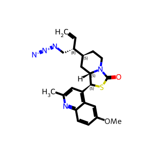 C=C[C@@H](CN=[N+]=[N-])[C@H]1CCN2C(=O)S[C@@H](c3cc(C)nc4ccc(OC)cc34)[C@@H]2C1